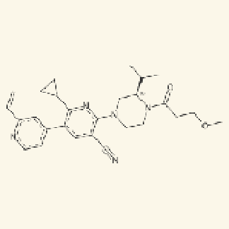 C=Cc1cc(-c2cc(C#N)c(N3CCN(C(=O)CCOC)[C@H](C(C)C)C3)nc2C2CC2)ccn1